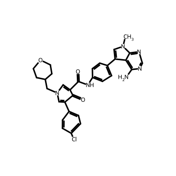 Cn1cc(-c2ccc(NC(=O)c3cn(CC4CCOCC4)cc(-c4ccc(Cl)cc4)c3=O)cc2)c2c(N)ncnc21